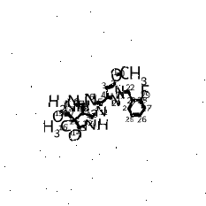 COc1cc(-c2nc(N)c3c(n2)NC(=O)C3(C)C(N)=O)nn1Cc1ccccc1F